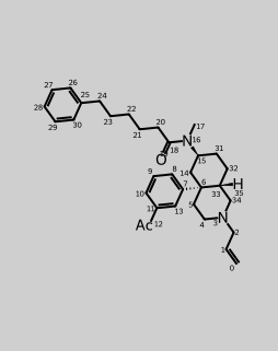 C=CCN1CC[C@@]2(c3cccc(C(C)=O)c3)C[C@@H](N(C)C(=O)CCCCCc3ccccc3)CC[C@@H]2C1